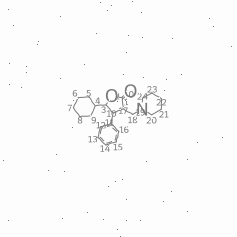 O=C1OC(C2CCCCC2)[C@H](c2ccccc2)C1CN1CCCCC1